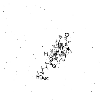 CCCCCCCCCCCCCCCS(=O)O[C@H]1CC[C@H]2[C@@H]3CCC4=CC(=O)CC[C@]4(C)[C@H]3CC[C@]12C